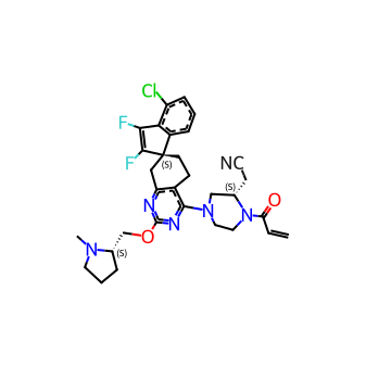 C=CC(=O)N1CCN(c2nc(OC[C@@H]3CCCN3C)nc3c2CC[C@@]2(C3)C(F)=C(F)c3c(Cl)cccc32)C[C@@H]1CC#N